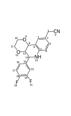 N#CCc1ccc2c(c1)C1OCCOC1C(c1ccc(F)c(F)c1)N2